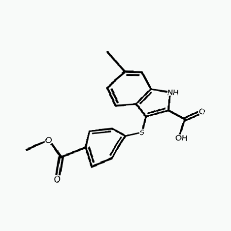 COC(=O)c1ccc(Sc2c(C(=O)O)[nH]c3cc(C)ccc23)cc1